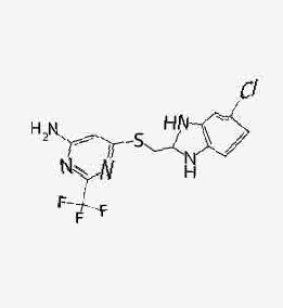 Nc1cc(SCC2Nc3ccc(Cl)cc3N2)nc(C(F)(F)F)n1